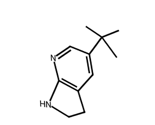 CC(C)(C)c1cnc2c(c1)CCN2